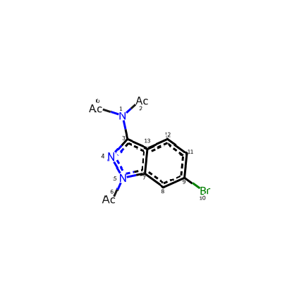 CC(=O)N(C(C)=O)c1nn(C(C)=O)c2cc(Br)ccc12